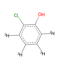 [2H]c1c([2H])c([2H])c(Cl)c(O)c1[2H]